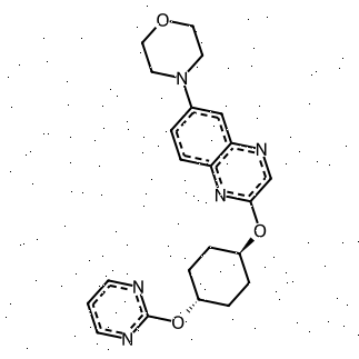 c1cnc(O[C@H]2CC[C@H](Oc3cnc4cc(N5CCOCC5)ccc4n3)CC2)nc1